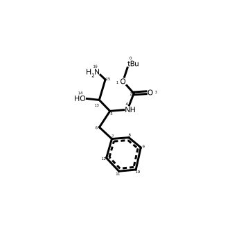 CC(C)(C)OC(=O)NC(Cc1ccccc1)C(O)CN